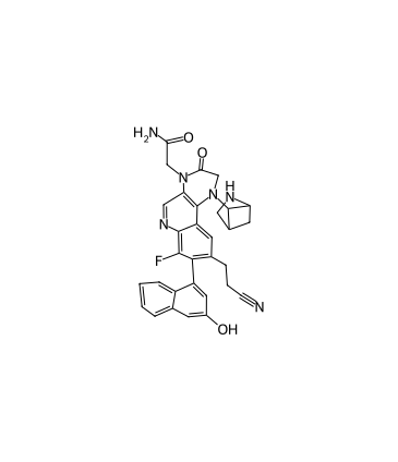 N#CCCc1cc2c3c(cnc2c(F)c1-c1cc(O)cc2ccccc12)N(CC(N)=O)C(=O)CN3C1C2CNC1C2